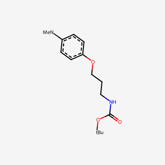 CNc1ccc(OCCCNC(=O)OC(C)(C)C)cc1